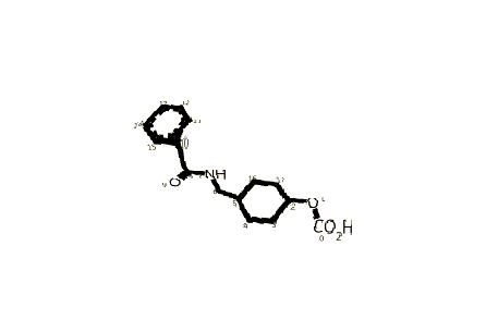 O=C(O)OC1CCC(CNC(=O)c2ccccc2)CC1